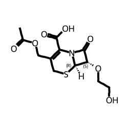 CC(=O)OCC1=C(C(=O)O)N2C(=O)[C@H](OCCO)[C@H]2SC1